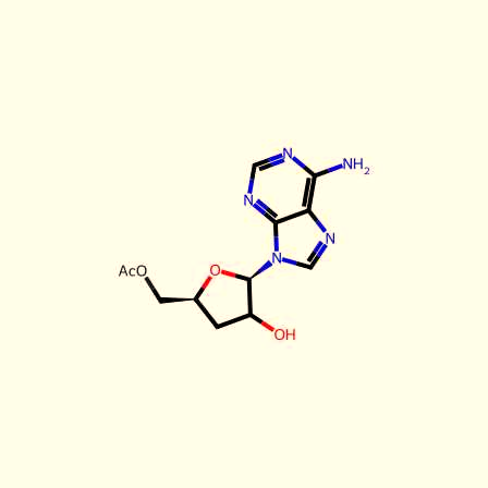 CC(=O)OC[C@@H]1CC(O)[C@H](n2cnc3c(N)ncnc32)O1